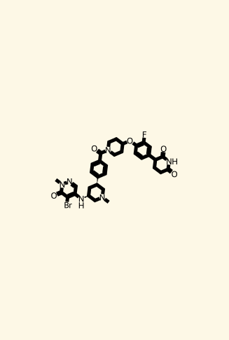 CN1C[C@H](Nc2cnn(C)c(=O)c2Br)C[C@H](c2ccc(C(=O)N3CCC(Oc4ccc(C5CCC(=O)NC5=O)cc4F)CC3)cc2)C1